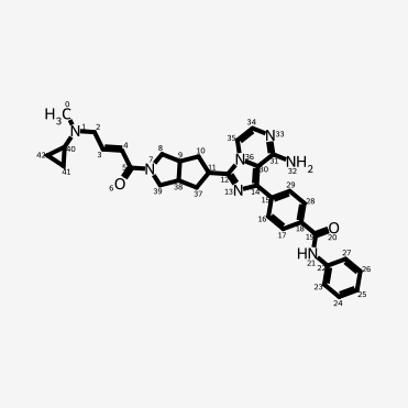 CN(CC=CC(=O)N1CC2CC(c3nc(-c4ccc(C(=O)Nc5ccccc5)cc4)c4c(N)nccn34)CC2C1)C1CC1